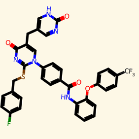 O=C(Nc1ccccc1Oc1ccc(C(F)(F)F)cc1)c1ccc(-n2cc(Cc3cnc(=O)[nH]c3)c(=O)nc2SCc2ccc(F)cc2)cc1